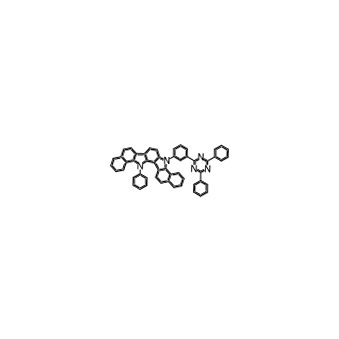 c1ccc(-c2nc(-c3ccccc3)nc(-c3cccc(-n4c5ccc6c7ccc8ccccc8c7n(-c7ccccc7)c6c5c5ccc6ccccc6c54)c3)n2)cc1